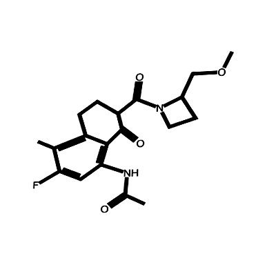 COCC1CCN1C(=O)C1CCc2c(C)c(F)cc(NC(C)=O)c2C1=O